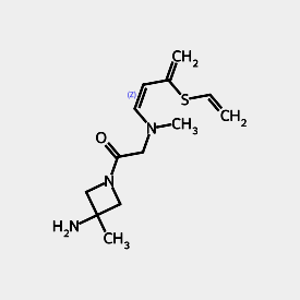 C=CSC(=C)/C=C\N(C)CC(=O)N1CC(C)(N)C1